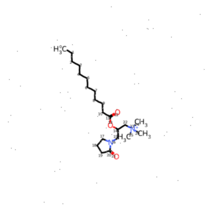 CCCCCCCCCCCC(=O)OC(CN1CCCC1=O)C[N+](C)(C)C